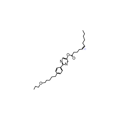 CCCCC/C=C\CCCC(=O)Oc1cnc(-c2ccc(CCCCCOCCC)cc2)nc1